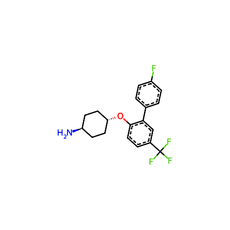 N[C@H]1CC[C@H](Oc2ccc(C(F)(F)F)cc2-c2ccc(F)cc2)CC1